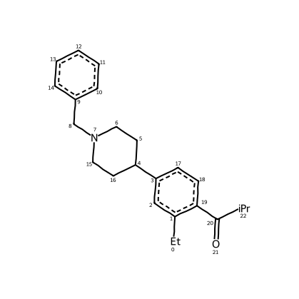 CCc1cc(C2CCN(Cc3ccccc3)CC2)ccc1C(=O)C(C)C